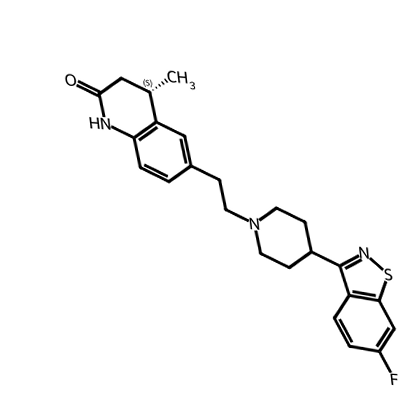 C[C@H]1CC(=O)Nc2ccc(CCN3CCC(c4nsc5cc(F)ccc45)CC3)cc21